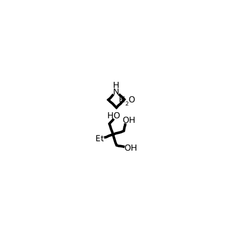 C1CNC1.CCC(CO)(CO)CO.O